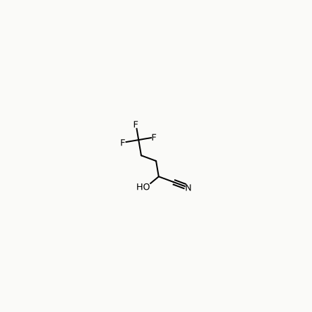 N#CC(O)CCC(F)(F)F